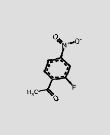 CC(=O)c1ccc([N+](=O)[O-])cc1F